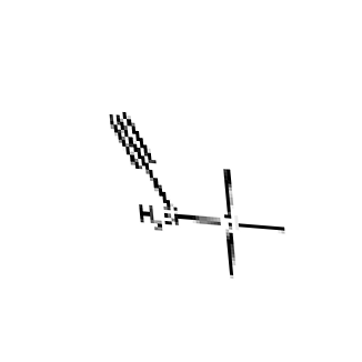 [C]#C[SiH2][Si](C)(C)C